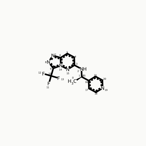 C[C@@H](Nc1ccc2nnc(C(F)(F)F)n2n1)c1ccncc1